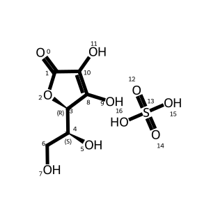 O=C1O[C@H]([C@@H](O)CO)C(O)=C1O.O=S(=O)(O)O